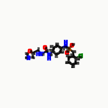 O=C(NCc1cnco1)Nc1ccc(NS(=O)(=O)Cc2ccccc2Cl)cc1